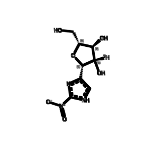 [2H][C@]1(O)[C@H](O)[C@@H](CO)O[C@H]1c1c[nH]c([N+](=O)[O-])n1